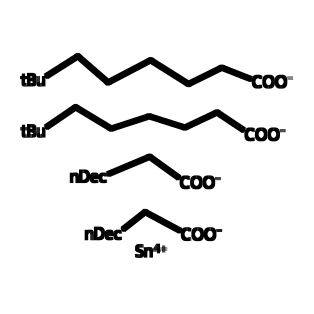 CC(C)(C)CCCCCC(=O)[O-].CC(C)(C)CCCCCC(=O)[O-].CCCCCCCCCCCC(=O)[O-].CCCCCCCCCCCC(=O)[O-].[Sn+4]